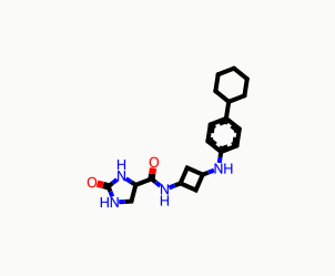 O=C1NCC(C(=O)NC2CC(Nc3ccc(C4CCCCC4)cc3)C2)N1